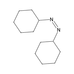 C1CCC(/N=N\C2CCCCC2)CC1